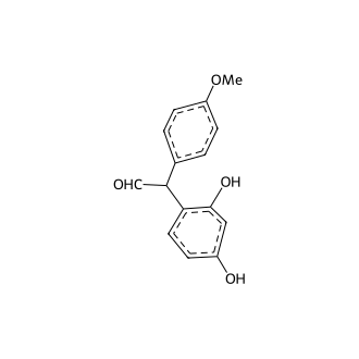 COc1ccc(C(C=O)c2ccc(O)cc2O)cc1